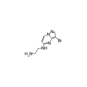 NCCNc1ccn2ncc(Br)c2n1